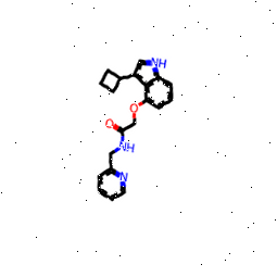 O=C(COc1cccc2[nH]cc(C3CCC3)c12)NCc1ccccn1